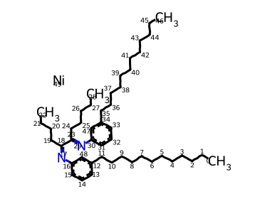 CCCCCCCCCCCCc1cccc(N=C(CCCC)C(CCCCC)=Nc2cccc(CCCCCCCCCCCC)c2)c1.[Ni]